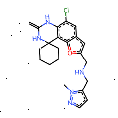 C=C1Nc2c(Cl)cc3cc(CNCc4ccnn4C)oc3c2C2(CCCCC2)N1